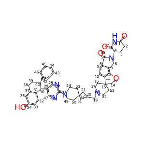 O=C1CC[C@H](N2Cc3c(ccc4c3OCC43CCN(CC4CC5(CCN(c6ncc([C@H]7c8ccc(O)cc8CC[C@H]7c7ccccc7)cn6)CC5)C4)CC3)C2=O)C(=O)N1